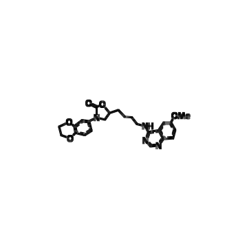 COc1ccc2ncnc(NCCCCC3CN(c4ccc5c(c4)OCCO5)C(=O)O3)c2c1